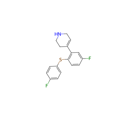 Fc1ccc(Sc2ccc(F)cc2C2=CCNCC2)cc1